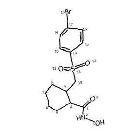 O=C(NO)C1CCCCC1CS(=O)(=O)c1ccc(Br)cc1